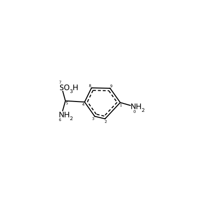 Nc1ccc(C(N)S(=O)(=O)O)cc1